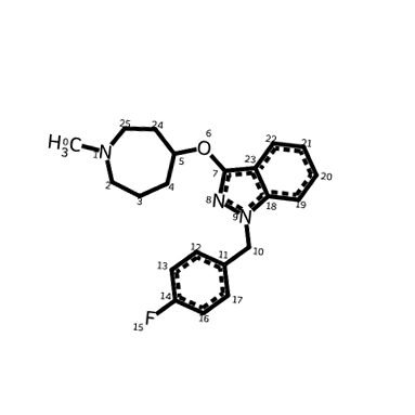 CN1CCCC(Oc2nn(Cc3ccc(F)cc3)c3ccccc23)CC1